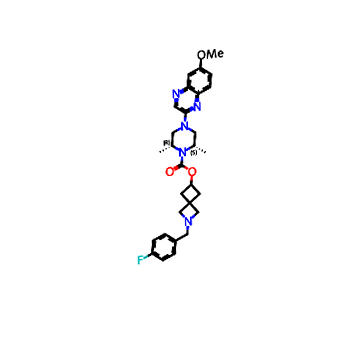 COc1ccc2nc(N3C[C@@H](C)N(C(=O)OC4CC5(C4)CN(Cc4ccc(F)cc4)C5)[C@@H](C)C3)cnc2c1